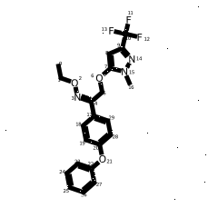 CCON=C(COc1cc(C(F)(F)F)nn1C)c1ccc(Oc2ccccc2)cc1